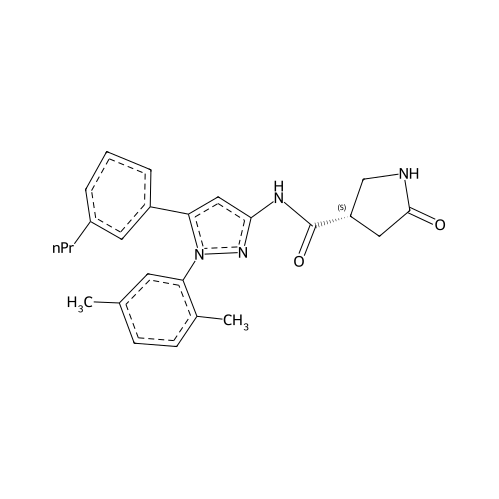 CCCc1cccc(-c2cc(NC(=O)[C@@H]3CNC(=O)C3)nn2-c2cc(C)ccc2C)c1